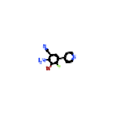 N#Cc1cc(-c2ccncc2)c(F)c(Br)c1N